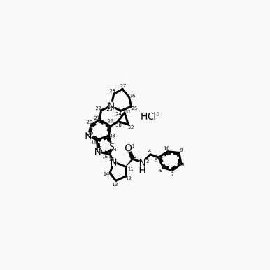 Cl.O=C(NCc1ccccc1)[C@H]1CCCN1c1nc2ncc(CN3CCCCC3)c(C3CC3)c2s1